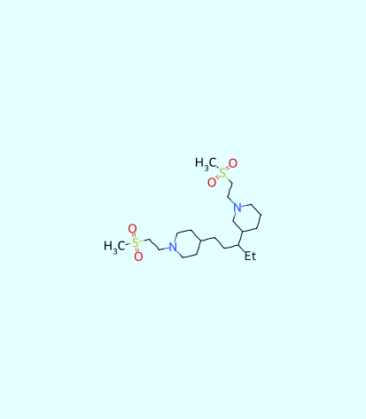 [CH2]CC(CCC1CCN(CCS(C)(=O)=O)CC1)C1CCCN(CCS(C)(=O)=O)C1